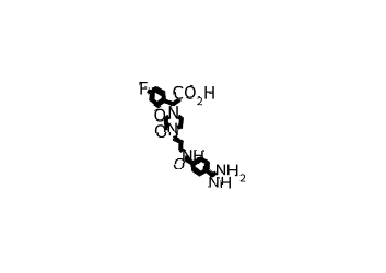 N=C(N)c1ccc(C(=O)NCCCN2CCN(C(CC(=O)O)c3ccc(F)cc3)C(=O)C2=O)cc1